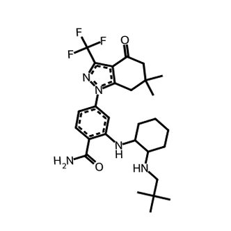 CC(C)(C)CNC1CCCCC1Nc1cc(-n2nc(C(F)(F)F)c3c2CC(C)(C)CC3=O)ccc1C(N)=O